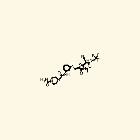 CCn1c(=C(C#N)C(=O)NCC(F)(F)F)sc(=CNc2cccc(NC(=O)CN3CCN(C(N)=O)CC3)c2)c1=O